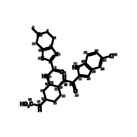 CN1CCc2nc(C(=O)N[C@@H]3CC(NC(=O)O)CC[C@@H]3NC(=O)c3cc4cc(Cl)ccc4[nH]3)sc2C1